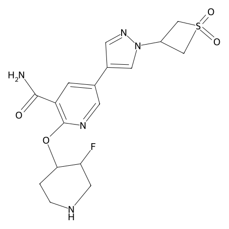 NC(=O)c1cc(-c2cnn(C3CS(=O)(=O)C3)c2)cnc1OC1CCNCC1F